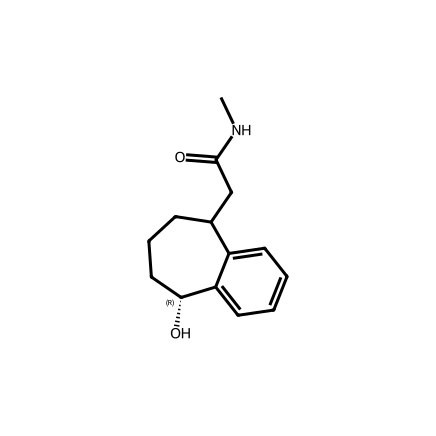 CNC(=O)CC1CCC[C@@H](O)c2ccccc21